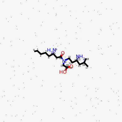 CCCCC[C@H](N)CC(=O)N(CC[C@@H](N)CC(C)C)CC(=O)O